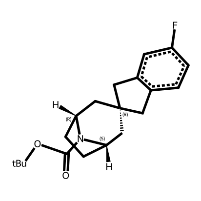 CC(C)(C)OC(=O)N1[C@@H]2CC[C@H]1C[C@]1(Cc3ccc(F)cc3C1)C2